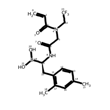 C=CC(=O)N(CC(=O)N[C@@H](Cc1ccc(C)cc1C)B(O)O)CC(F)(F)F